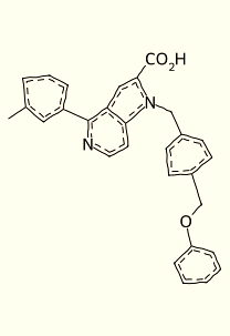 Cc1cccc(-c2nccc3c2cc(C(=O)O)n3Cc2ccc(COc3ccccc3)cc2)c1